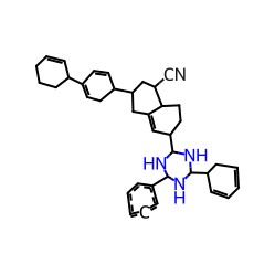 N#CC1CC(C2C=CC(C3C=CCCC3)=CC2)CC2=CC(C3NC(c4ccccc4)NC(C4C=CC=CC4)N3)CCC21